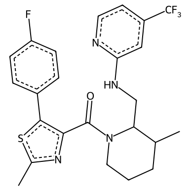 Cc1nc(C(=O)N2CCCC(C)C2CNc2cc(C(F)(F)F)ccn2)c(-c2ccc(F)cc2)s1